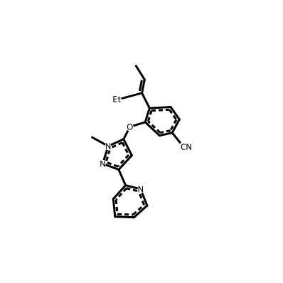 C/C=C(\CC)c1ccc(C#N)cc1Oc1cc(-c2ccccn2)nn1C